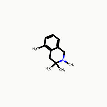 Cc1cccc2c1CC(C)(C)N(C)C2